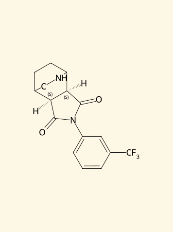 O=C1[C@@H]2C3CCC(CN3)[C@@H]2C(=O)N1c1cccc(C(F)(F)F)c1